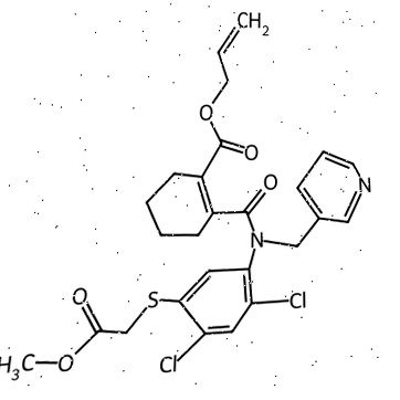 C=CCOC(=O)C1=C(C(=O)N(Cc2cccnc2)c2cc(SCC(=O)OC)c(Cl)cc2Cl)CCCC1